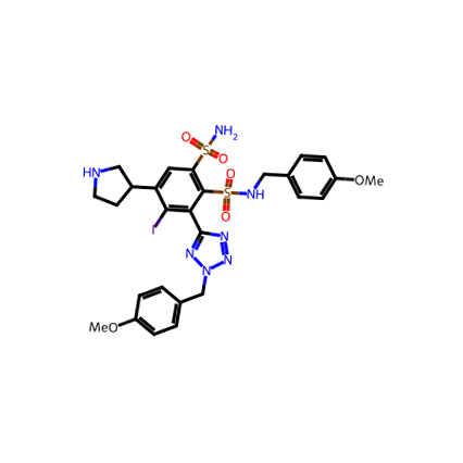 COc1ccc(CNS(=O)(=O)c2c(S(N)(=O)=O)cc(C3CCNC3)c(I)c2-c2nnn(Cc3ccc(OC)cc3)n2)cc1